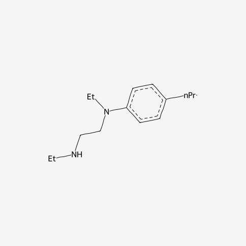 CC[CH]c1ccc(N(CC)CCNCC)cc1